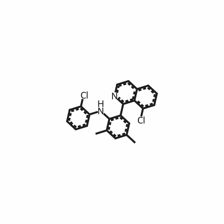 Cc1cc(C)c(Nc2ccccc2Cl)c(-c2nccc3cccc(Cl)c23)c1